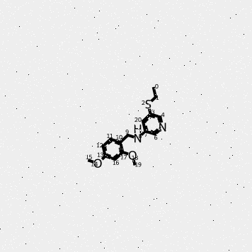 CCSc1cncc(NCc2ccc(OC)cc2OC)c1